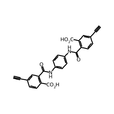 C#Cc1ccc(C(=O)Nc2ccc(NC(=O)c3cc(C#C)ccc3C(=O)O)cc2)c(C(=O)O)c1